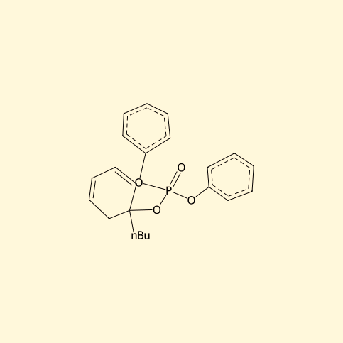 CCCCC1(OP(=O)(Oc2ccccc2)Oc2ccccc2)C=CC=CC1